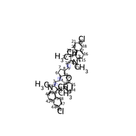 CN1/C(=C/C=C2\CCC(/C=C/C3=[N+](C)c4ccc5cc(Cl)ccc5c4C3(C)C)=C2Oc2ccccc2)C(C)(C)c2c1ccc1cc(Cl)ccc21